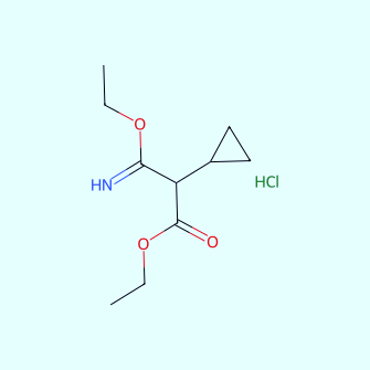 CCOC(=N)C(C(=O)OCC)C1CC1.Cl